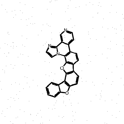 c1ccc2c(c1)oc1ccc3c4ccc5c6ccncc6c6nccn6c5c4oc3c12